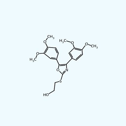 COc1ccc(-c2nc(SCCO)oc2-c2ccc(OC)c(OC)c2)cc1OC